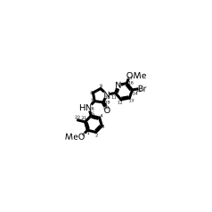 COc1cccc(NC2CCN(c3ccc(Br)c(OC)n3)C2=O)c1C